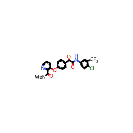 CNC(=O)c1ncccc1Oc1ccc(C(=O)C(=O)Nc2ccc(Cl)c(C(F)(F)F)c2)cc1